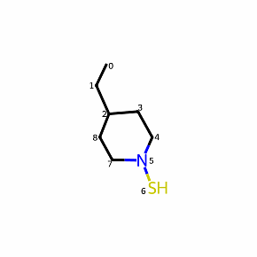 CCC1CCN(S)CC1